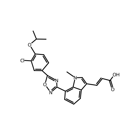 CC(C)Oc1ccc(-c2nc(-c3cccc4c(C=CC(=O)O)cn(C)c34)no2)cc1Cl